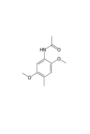 COc1cc(NC(C)=O)c(OC)cc1C